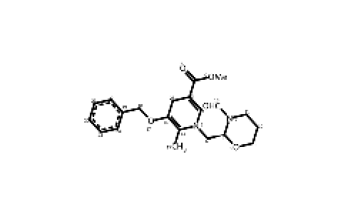 COC(=O)C1=CN(C[C@@H]2OCCCN2C=O)C(C)=C(OCc2ccccc2)C1